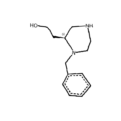 OCC[C@H]1CNCCN1Cc1ccccc1